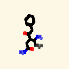 NC(=O)CC(C(=O)Cc1ccccc1)C(N)C(=O)O